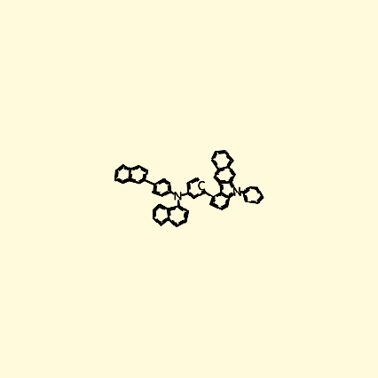 c1ccc(-n2c3cc4ccccc4cc3c3c(-c4cccc(N(c5ccc(-c6ccc7ccccc7c6)cc5)c5cccc6ccccc56)c4)cccc32)cc1